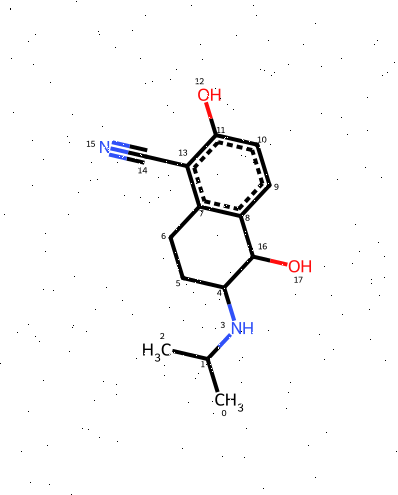 CC(C)NC1CCc2c(ccc(O)c2C#N)C1O